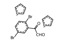 O=CC(=O)c1cc(Br)ccc1Br.c1ccsc1.c1ccsc1